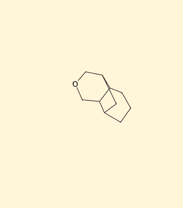 C1CC2CC3COCC2C3C1